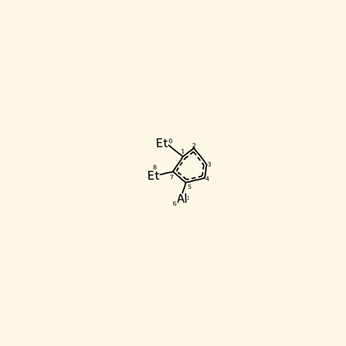 CCc1ccc[c]([Al])c1CC